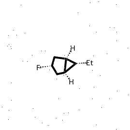 CC[C@@H]1[C@H]2C[C@H](F)C[C@@H]12